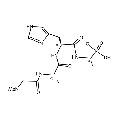 CNCC(=O)N[C@@H](C)C(=O)N[C@@H](Cc1c[nH]cn1)C(=O)N[C@@H](C)P(=O)(O)O